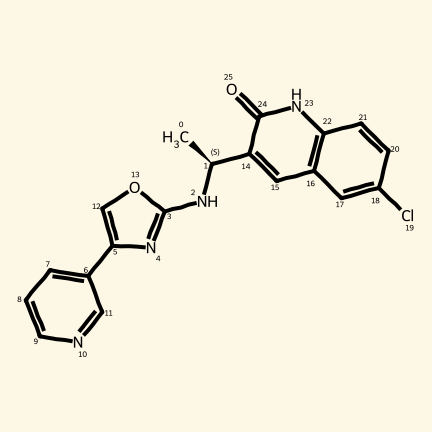 C[C@H](Nc1nc(-c2cccnc2)co1)c1cc2cc(Cl)ccc2[nH]c1=O